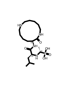 CC(C)C[C@H](N[C@H](C)P(=O)(O)O)C(=O)N[C@H]1CCCCNCCCCCNC1=O